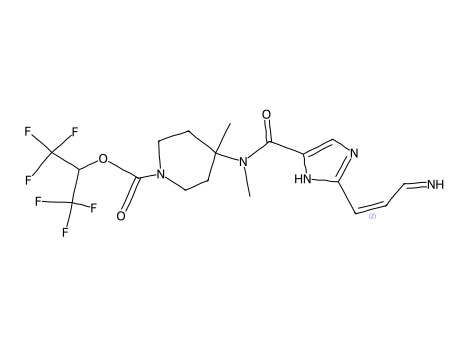 CN(C(=O)c1cnc(/C=C\C=N)[nH]1)C1(C)CCN(C(=O)OC(C(F)(F)F)C(F)(F)F)CC1